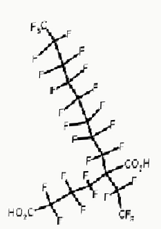 O=C(O)C(F)(F)C(F)(F)C(F)(F)C(C(=O)O)(C(F)(F)C(F)(F)F)C(F)(F)C(F)(F)C(F)(F)C(F)(F)C(F)(F)C(F)(F)C(F)(F)C(F)(F)F